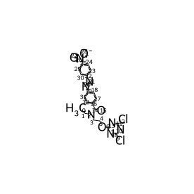 CCN(CCOc1nc(Cl)nc(Cl)n1)C(=O)c1ccc(N=Nc2ccc([N+](=O)[O-])cc2)cc1